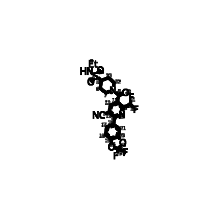 CCNS(=O)(=O)C1CCN(C(=O)c2cc(C#N)c(-c3ccc4c(c3)OC(F)(F)O4)nc2C(F)F)CC1